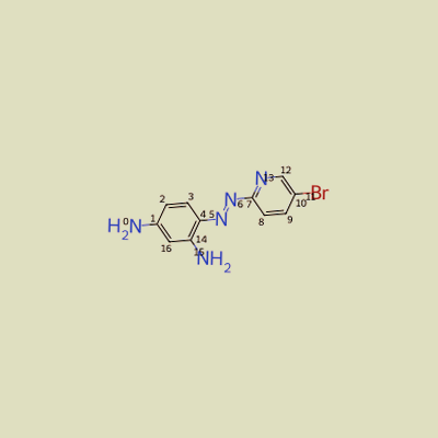 Nc1ccc(/N=N/c2ccc(Br)cn2)c(N)c1